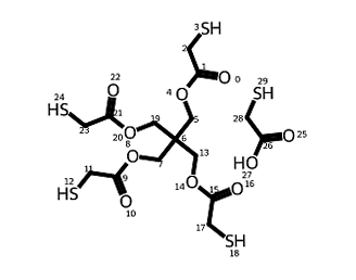 O=C(CS)OCC(COC(=O)CS)(COC(=O)CS)COC(=O)CS.O=C(O)CS